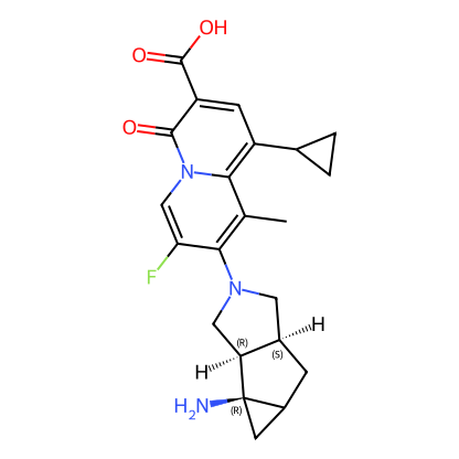 Cc1c(N2C[C@H]3CC4C[C@]4(N)[C@H]3C2)c(F)cn2c(=O)c(C(=O)O)cc(C3CC3)c12